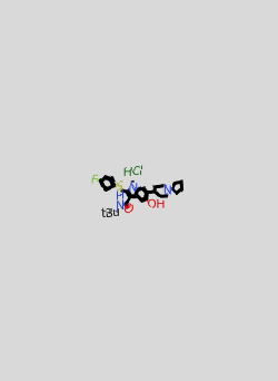 Cl.Cn1c(CSc2ccc(F)cc2)c(C(=O)NC(C)(C)C)c2cc(O)c(C3=CCN(C4CCCC4)CC3)cc21